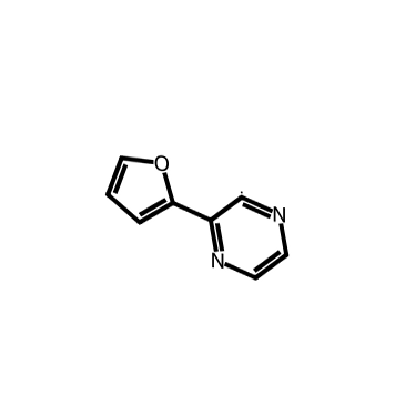 [c]1nccnc1-c1ccco1